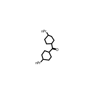 CCCC1CCC(C(=O)C2CCC(CCC)CC2)CC1